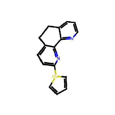 C1=C[SH](c2ccc3c(n2)-c2ncccc2CC3)C=C1